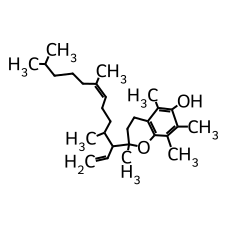 C=CC(C(C)CCC=C(C)CCCC(C)C)C1(C)CCc2c(C)c(O)c(C)c(C)c2O1